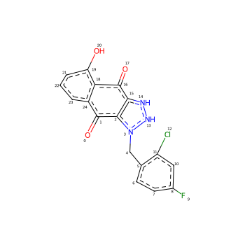 O=c1c2n(Cc3ccc(F)cc3Cl)[nH][nH]c=2c(=O)c2c(O)cccc12